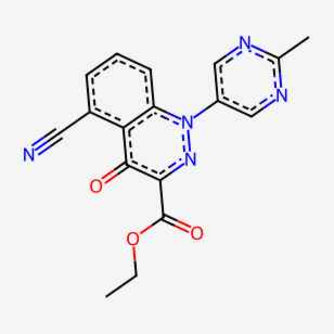 CCOC(=O)c1nn(-c2cnc(C)nc2)c2cccc(C#N)c2c1=O